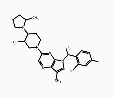 Cc1nn(C(C)c2ccc(Cl)cc2Cl)c2nc(N3CCC(N4CCCC4C)C(C)C3)cnc12